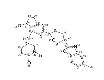 Cc1ccc2oc(C3(C)CCN(c4nc5c(c(N[C@H]6CCC(=O)N(C)C6)n4)[S+]([O-])CC5)CC3)nc2c1